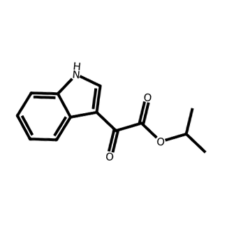 CC(C)OC(=O)C(=O)c1c[nH]c2ccccc12